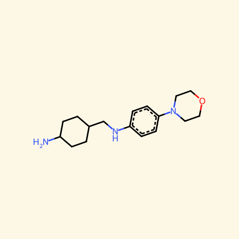 NC1CCC(CNc2ccc(N3CCOCC3)cc2)CC1